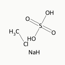 CCl.O=S(=O)(O)O.[NaH]